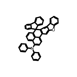 c1ccc(N(c2ccccc2)c2ccc3c4c(cccc24)C2(c4ccccc4-c4ccccc42)c2cc4c(cc2-3)oc2ccccc24)cc1